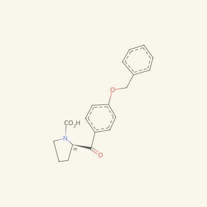 O=C(c1ccc(OCc2ccccc2)cc1)[C@H]1CCCN1C(=O)O